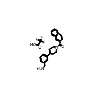 NCc1cccc(C2CCN(C(=O)c3ccc4ccccc4c3)CC2)c1.O=C(O)C(F)(F)F